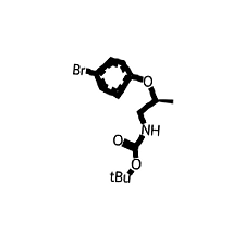 C[C@@H](CNC(=O)OC(C)(C)C)Oc1ccc(Br)cc1